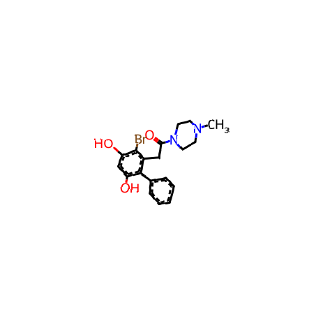 CN1CCN(C(=O)Cc2c(Br)c(O)cc(O)c2-c2ccccc2)CC1